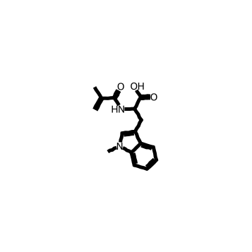 C=C(C)C(=O)NC(Cc1cn(C)c2ccccc12)C(=O)O